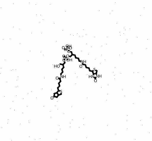 O=NP(=O)(O)OCC(CCCCNC(=O)CCCCC1SCC2NC(=O)NC21)COP(=O)(O)OCC(CO)CCCCNC(=O)CCCCC1SCC2CC(=O)CC21